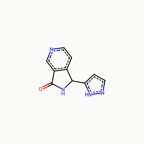 O=C1NC(c2ccn[nH]2)c2ccncc21